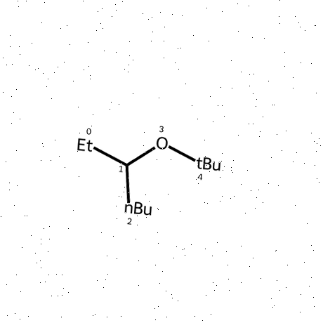 [CH2]CC(CCCC)OC(C)(C)C